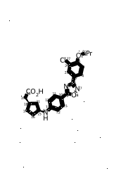 CC(C)Oc1ccc(-c2noc(-c3ccc(N[C@H]4CC[C@@H](CC(=O)O)C4)cc3)n2)cc1Cl